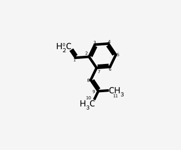 C=Cc1ccccc1C=C(C)C